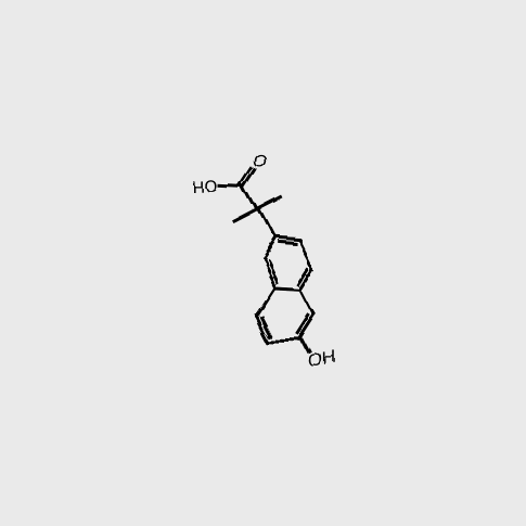 CC(C)(C(=O)O)c1ccc2cc(O)ccc2c1